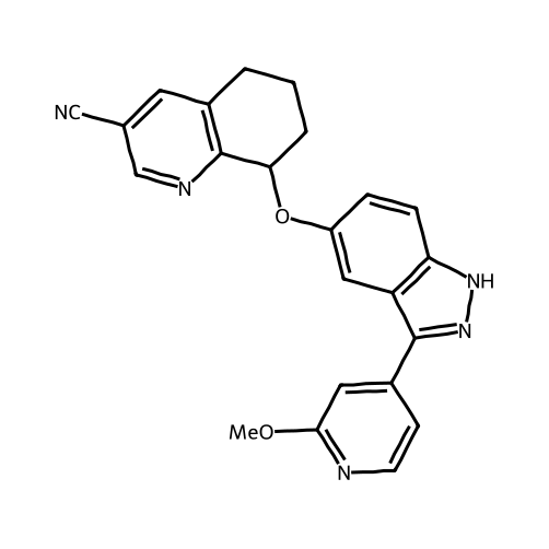 COc1cc(-c2n[nH]c3ccc(OC4CCCc5cc(C#N)cnc54)cc23)ccn1